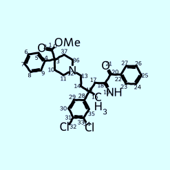 COC(=O)C1(c2ccccc2)CCN(CCC(C)(CC(=N)C(=O)c2ccccc2)c2ccc(Cl)c(Cl)c2)CC1